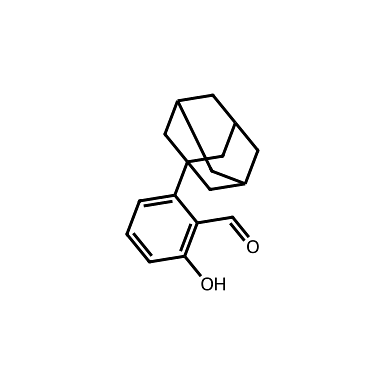 O=Cc1c(O)cccc1C12CC3CC(CC(C3)C1)C2